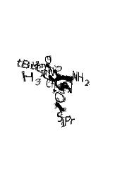 CC(C)SCCOCn1nc(N)c2c1C(C)(C)N(C(=O)OC(C)(C)C)C2